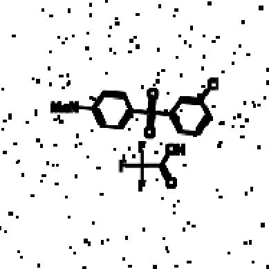 CNc1ccc(S(=O)(=O)c2cccc(Cl)c2)cc1.O=C(O)C(F)(F)F